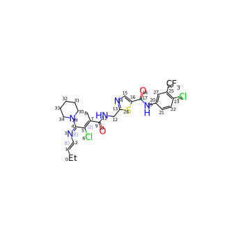 CC/C=C/N=C(\C(Cl)=C(/C)C(=O)NCc1ncc(C(=O)Nc2ccc(Cl)c(C(F)(F)F)c2)s1)N1CCCCC1